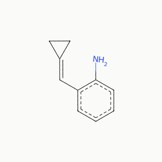 Nc1ccccc1C=C1CC1